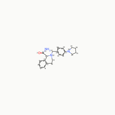 NC(=O)C1c2cc[c]cc2CCN1Cc1ccc(N2CCCC2)cc1